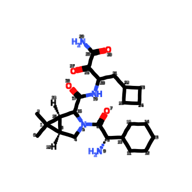 CC1(C)[C@@H]2CN(C(=O)[C@@H](N)C3CCCCC3)C(C(=O)NC(CC3CCC3)C(=O)C(N)=O)[C@@H]21